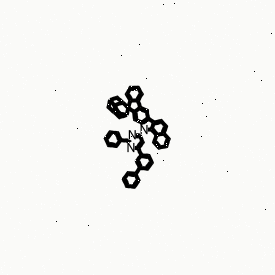 c1ccc(-c2cccc(-c3cc(-n4c5cc6c(cc5c5ccc7ccccc7c54)-c4ccccc4C64C5CC6CC(C5)CC4C6)nc(-c4ccccc4)n3)c2)cc1